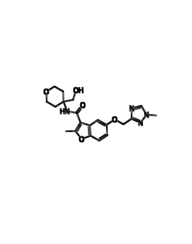 Cc1oc2ccc(OCc3ncn(C)n3)cc2c1C(=O)NC1(CO)CCOCC1